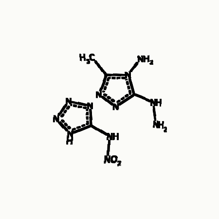 Cc1nnc(NN)n1N.O=[N+]([O-])Nc1nnn[nH]1